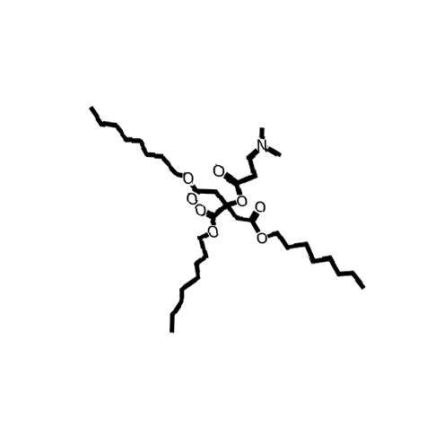 CCCCCCCCOC(=O)CC(CC(=O)OCCCCCCCC)(OC(=O)CCN(C)C)C(=O)OCCCCCCCC